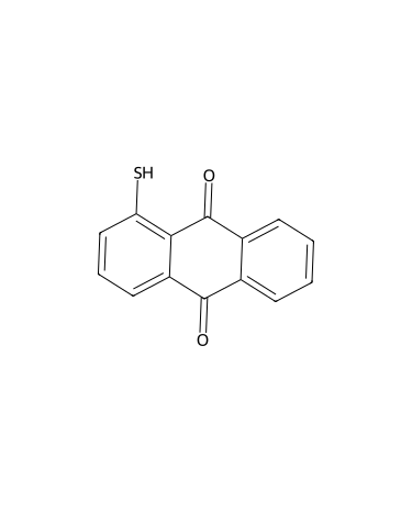 O=C1c2ccccc2C(=O)c2c(S)cccc21